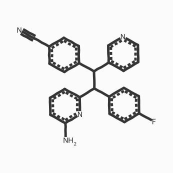 N#Cc1ccc(C(c2cccnc2)C(c2ccc(F)cc2)c2cccc(N)n2)cc1